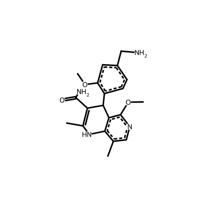 COc1cc(CN)ccc1C1C(C(N)=O)=C(C)Nc2c(C)cnc(OC)c21